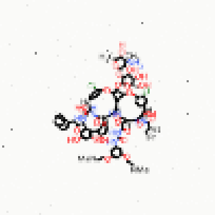 CC[C@H](CC(C)C)C(=O)N[C@H]1C(=O)C[C@@H](CC(=O)NC(=O)Nc2cc(OCCNC)cc(OCCNC)c2)C(=O)N[C@H]2C(=O)C[C@H]3C(=O)N[C@H](C(=O)N[C@H](C(=O)CC4C5CC6CC(C5)CC4C6)c4cc(O)cc(O)c4-c4cc3ccc4O)[C@H](O)c3ccc(c(Cl)c3)Oc3cc2cc(c3O[C@@H]2O[C@H](CO)[C@@H](O)[C@H](O)[C@H]2O[C@H]2C[C@](C)(N)[C@H](O)[C@H](C)O2)Oc2ccc(cc2Cl)[C@H]1O